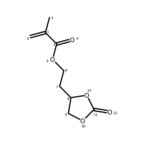 C=C(C)C(=O)OCCC1COC(=O)O1